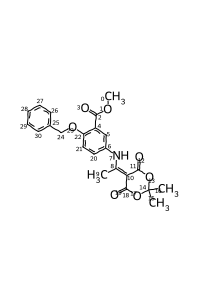 COC(=O)c1cc(NC(C)=C2C(=O)OC(C)(C)OC2=O)ccc1OCc1ccccc1